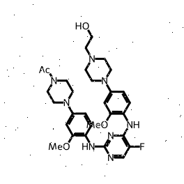 COc1cc(N2CCN(C(C)=O)CC2)ccc1Nc1ncc(F)c(Nc2ccc(N3CCN(CCO)CC3)cc2OC)n1